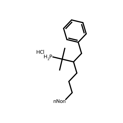 CCCCCCCCCCCCC(Cc1ccccc1)C(C)(C)P.Cl